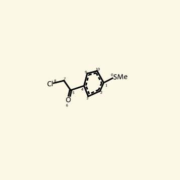 CSc1ccc(C(=O)CCl)cc1